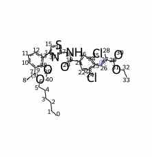 CCCCCCO[C@@H](C)c1cccc(-c2csc(NC(=O)c3cc(Cl)c(/C=C(\C)C(=O)OCC)c(Cl)c3)n2)c1OC